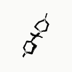 CN1CCC(C(C)(C)N2CCN(C)CC2)CC1